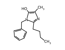 CCCCc1nc(C)c(O)n1Cc1ccccc1